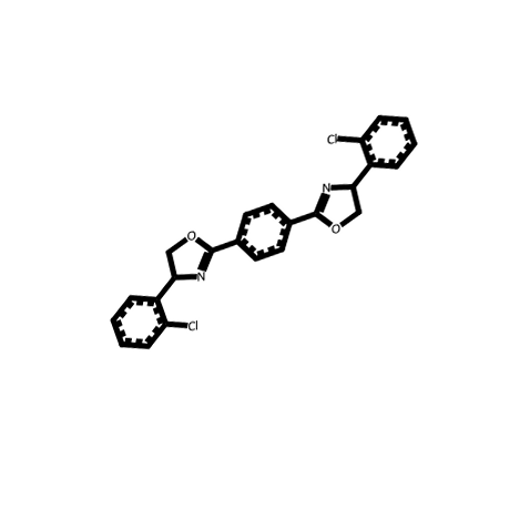 Clc1ccccc1C1COC(c2ccc(C3=NC(c4ccccc4Cl)CO3)cc2)=N1